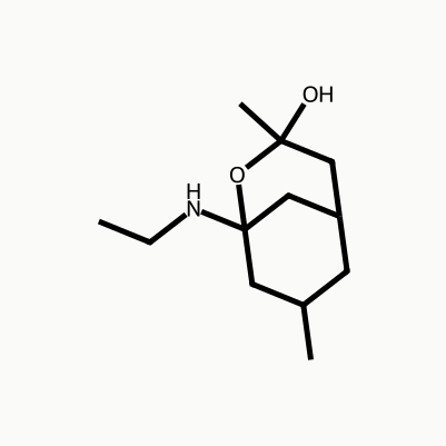 CCNC12CC(C)CC(CC(C)(O)O1)C2